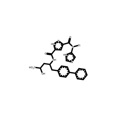 CCN(C(=O)c1cc(C(=O)NC(Cc2ccc(-c3ccccc3)cc2)CC(O)C(=O)O)[nH]n1)c1cnc[nH]1